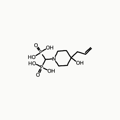 C=CCC1(O)CCN(C(P(=O)(O)O)P(=O)(O)O)CC1